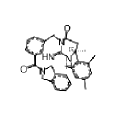 Cc1cc(C)c([C@]2(C)CC(=O)N(Cc3cccc(C(=O)N4Cc5ccccc5C4)c3)C(=N)N2)c(C)c1